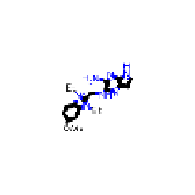 CCn1c(CNc2nc3cc[nH]c3nc2N)[n+](CC)c2ccc(OC)cc21